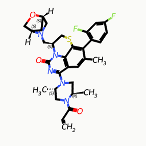 C=CC(=O)N1C[C@H](C)N(c2nc(=O)n3c4c(c(-c5ccc(F)cc5F)c(C)cc24)SC[C@@H]3CN2C[C@@H]3C[C@H]2CO3)C[C@H]1C